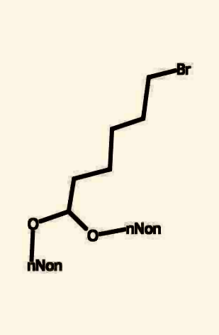 CCCCCCCCCOC(CCCCCBr)OCCCCCCCCC